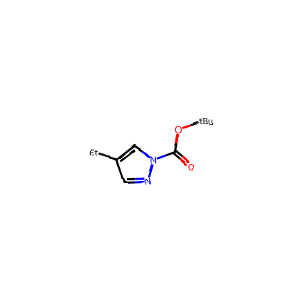 CCc1cnn(C(=O)OC(C)(C)C)c1